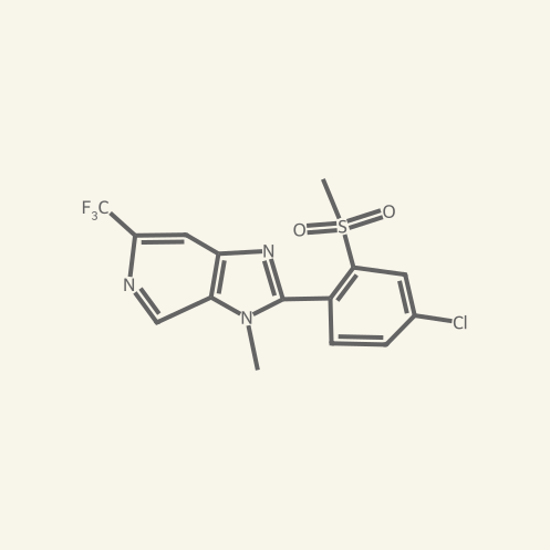 Cn1c(-c2ccc(Cl)cc2S(C)(=O)=O)nc2cc(C(F)(F)F)ncc21